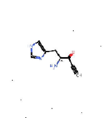 C#CC(=O)[C@@H](N)Cc1c[nH]cn1